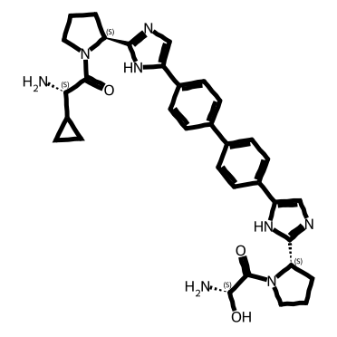 N[C@H](C(=O)N1CCC[C@H]1c1ncc(-c2ccc(-c3ccc(-c4cnc([C@@H]5CCCN5C(=O)[C@@H](N)O)[nH]4)cc3)cc2)[nH]1)C1CC1